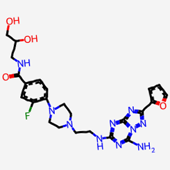 Nc1nc(NCCN2CCN(c3ccc(C(=O)NCC(O)CO)cc3F)CC2)nc2nc(-c3ccco3)nn12